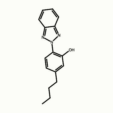 CCCCc1ccc(-n2nc3ccccc3n2)c(O)c1